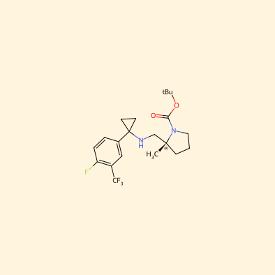 CC(C)(C)OC(=O)N1CCC[C@]1(C)CNC1(c2ccc(F)c(C(F)(F)F)c2)CC1